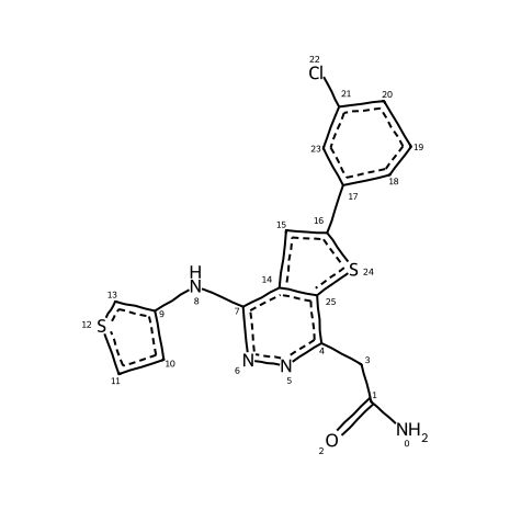 NC(=O)Cc1nnc(Nc2ccsc2)c2cc(-c3cccc(Cl)c3)sc12